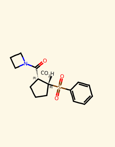 O=C([C@H]1CCC[C@@]1(C(=O)O)S(=O)(=O)c1ccccc1)N1CCC1